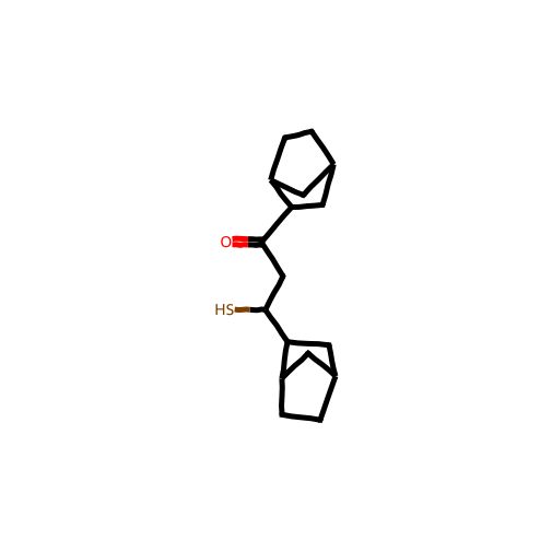 O=C(CC(S)C1CC2CCC1C2)C1CC2CCC1C2